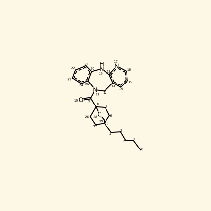 CCCCCC12CCC(C(=O)N3Cc4cccnc4Nc4ccccc43)(CC1)CC2